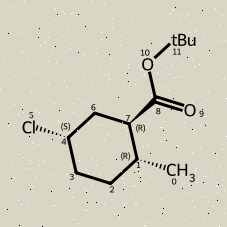 C[C@@H]1CC[C@H](Cl)C[C@H]1C(=O)OC(C)(C)C